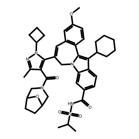 COc1ccc2c(c1)C=C(c1c(C(=O)N3CC4CCC(C3)O4)c(C)nn1C1CCC1)Cn1c-2c(C2CCCCC2)c2ccc(C(=O)NS(=O)(=O)C(C)C)cc21